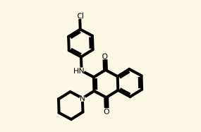 O=C1C(Nc2ccc(Cl)cc2)=C(N2CCCCC2)C(=O)c2ccccc21